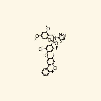 COc1ccc(CN(c2nncs2)S(=O)(=O)c2cc(Cl)c(Oc3cc(-c4ccccc4F)c(Cl)cc3I)cc2F)c(OC)c1